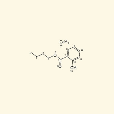 CCCCOC(=O)c1ccccc1O.[CaH2]